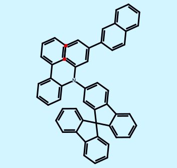 c1ccc(-c2ccccc2N(c2cccc(-c3ccc4ccccc4c3)c2)c2ccc3c(c2)C2(c4ccccc4-c4ccccc42)c2ccccc2-3)cc1